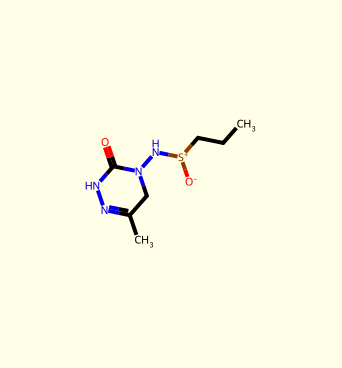 CCC[S+]([O-])NN1CC(C)=NNC1=O